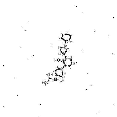 CC(O)Nc1ccc(-c2cccc(-c3cnc(-c4ccccc4)o3)c2O)cc1F